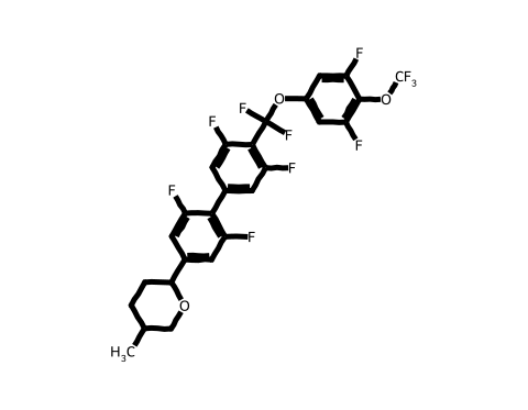 CC1CCC(c2cc(F)c(-c3cc(F)c(C(F)(F)Oc4cc(F)c(OC(F)(F)F)c(F)c4)c(F)c3)c(F)c2)OC1